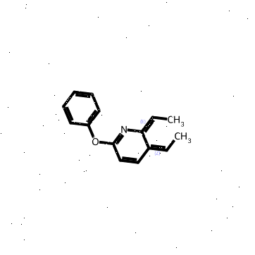 C/C=c1/ccc(Oc2ccccc2)n/c1=C/C